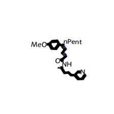 CCCCC/C(=C/C=C/C(=O)N[C@H](C)CCCc1cccnc1)c1ccc(OC)cc1